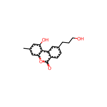 Cc1cc(O)c2c(c1)oc(=O)c1ccc(CCCO)cc12